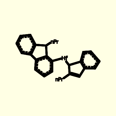 CCCC1=Cc2ccccc2[CH]1[Hf][c]1cccc2c1C(CCC)c1ccccc1-2